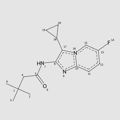 CC(C)(C)CC(=O)Nc1nc2ccc(F)cn2c1C1CC1